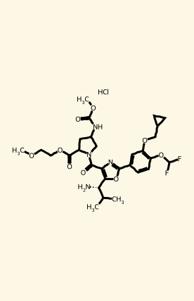 COCCOC(=O)C1CC(NC(=O)OC)CN1C(=O)c1nc(-c2ccc(OC(F)F)c(OCC3CC3)c2)oc1[C@@H](N)C(C)C.Cl